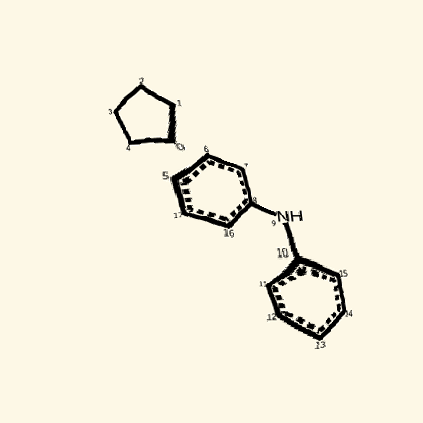 C1CCCC1.c1ccc(Nc2ccccc2)cc1